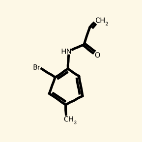 C=CC(=O)Nc1ccc(C)cc1Br